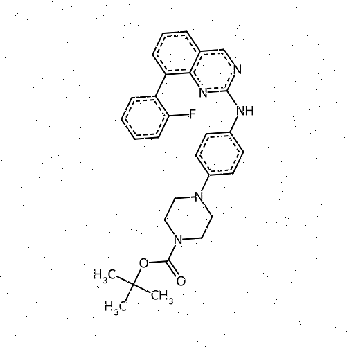 CC(C)(C)OC(=O)N1CCN(c2ccc(Nc3ncc4cccc(-c5ccccc5F)c4n3)cc2)CC1